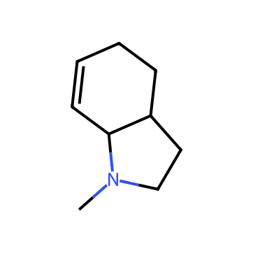 CN1CCC2CCC=CC21